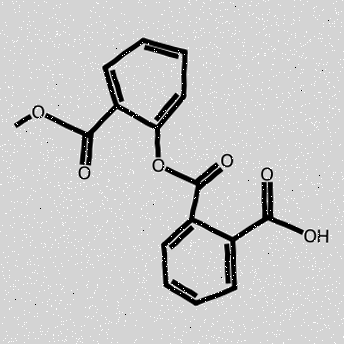 COC(=O)c1ccccc1OC(=O)c1ccccc1C(=O)O